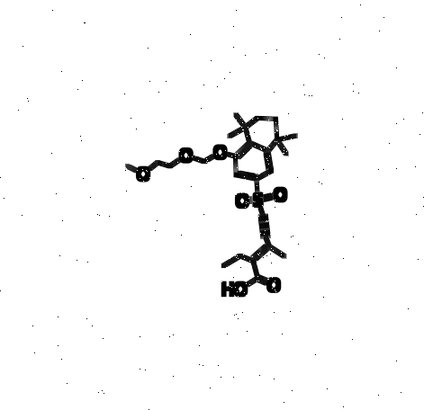 CCC(C(=O)O)=C(C)C#CS(=O)(=O)c1cc(OCOCCOC)c2c(c1)C(C)(C)CCC2(C)C